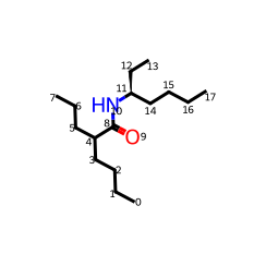 CCCCC(CCC)C(=O)N[C@@H](CC)CCCC